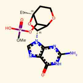 CC[C@]12CCOC(C1OP(=O)(O)OC)[C@H](n1cnc3c(=O)[nH]c(N)nc31)O2